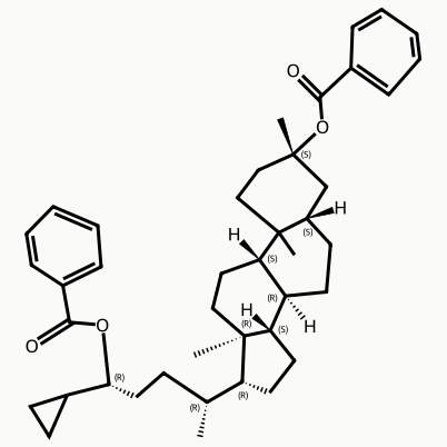 C[C@H](CC[C@@H](OC(=O)c1ccccc1)C1CC1)[C@H]1CC[C@H]2[C@@H]3CC[C@H]4C[C@@](C)(OC(=O)c5ccccc5)CCC4(C)[C@H]3CC[C@]12C